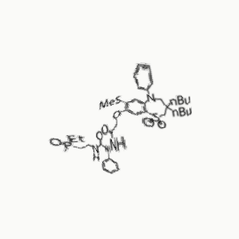 CCCCC1(CCCC)CN(c2ccccc2)c2cc(SC)c(OCC(=O)N[C@@H](C(=O)NCCP(C)(=O)CC)c3ccccc3)cc2S(=O)(=O)C1